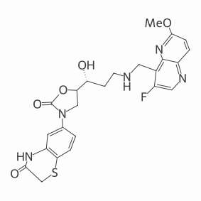 COc1ccc2ncc(F)c(CNCC[C@@H](O)C3CN(c4ccc5c(c4)NC(=O)CS5)C(=O)O3)c2n1